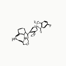 Cc1ccc(F)cc1C(=O)Nc1ccc(C(=O)C2CC=CC3=CNC=C4COCCN4C32)c(Cl)c1